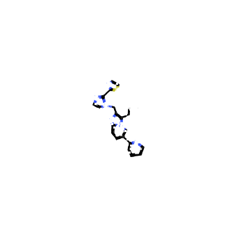 CCc1c(Cn2ccnc2-c2nccs2)nc2ccc(-c3ccccn3)cn12